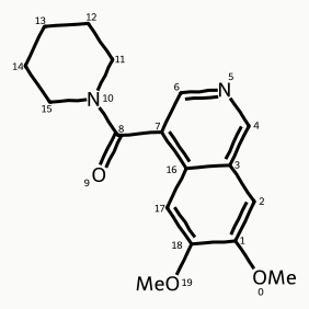 COc1cc2cncc(C(=O)N3CCCCC3)c2cc1OC